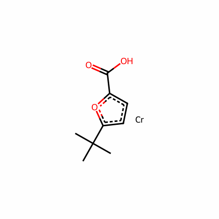 CC(C)(C)c1ccc(C(=O)O)o1.[Cr]